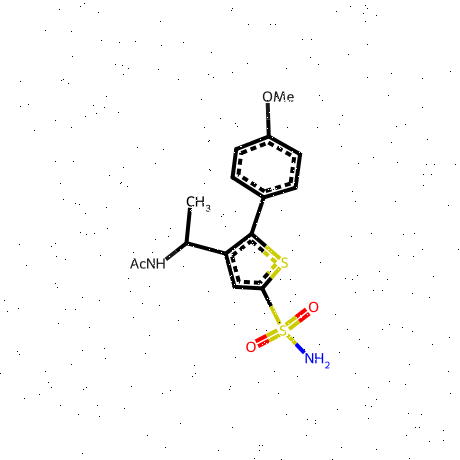 COc1ccc(-c2sc(S(N)(=O)=O)cc2C(C)NC(C)=O)cc1